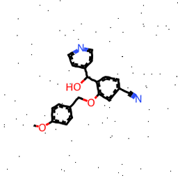 COc1ccc(COc2cc(C#N)ccc2C(O)c2ccncc2)cc1